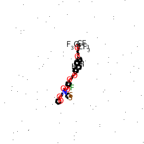 C[C@]12CC[C@@H]3c4ccc(OCCOc5ccc(OC(=O)N(CCOC6CCCCO6)C6CCSSC6)c(F)c5)cc4CC[C@H]3[C@@H]1CC[C@@H]2OCCCOC(C(F)(F)F)(C(F)(F)F)C(F)(F)F